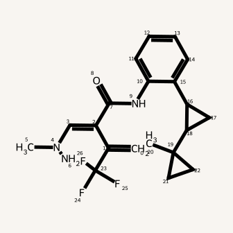 C=C(/C(=C\N(C)N)C(=O)Nc1ccccc1C1CC1C1(C)CC1)C(F)(F)F